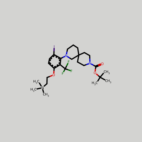 CC(C)(C)OC(=O)N1CCC2(CCCN(c3c(I)ccc(OCC[Si](C)(C)C)c3C(F)(F)F)C2)CC1